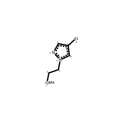 CCc1cnn(CCOC)c1